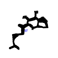 C=C(C)C1=C(/C=C(\C)c2nc3ccccc3c(CC)c2CC)C1